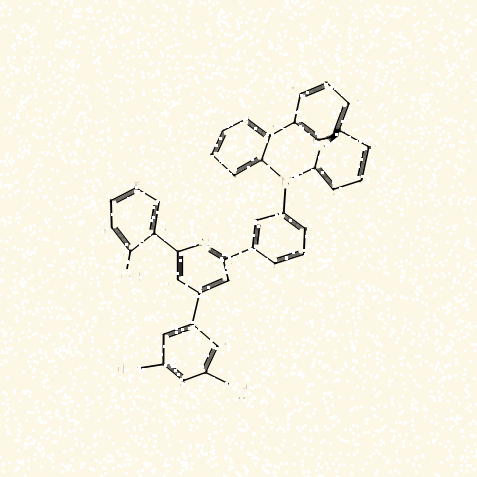 CC(C)(C)c1cc(-c2cc(-c3cccc(N(c4ccccn4)c4ccccc4-c4ccccc4)c3)nc(-c3ccccc3O)c2)cc(C(C)(C)C)c1